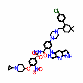 CC1(C)CCC(CN2CCN(c3ccc(C(=O)NS(=O)(=O)c4ccc(OC5CCN(C6CC6)CC5)c([N+](=O)[O-])c4)c(-n4ncc5nc6[nH]ccc6cc54)c3)CC2)=C(c2ccc(Cl)cc2)C1